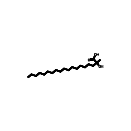 CCCCCCCCCCCCCCCCCC(C)(O)C(=O)O